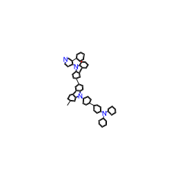 Cc1ccc2c3cc(-c4ccc5c(c4)c4ccccc4n5-c4ccncc4-c4ccccc4)ccc3n(-c3ccc(-c4ccc(N(c5ccccc5)c5ccccc5)cc4)cc3)c2c1